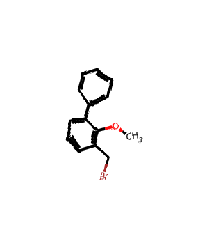 COc1c(CBr)cccc1-c1ccccc1